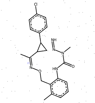 C/C(=N/OCc1c(C)cccc1NC(=O)N(C)N=N)C1CC1c1ccc(Cl)cc1